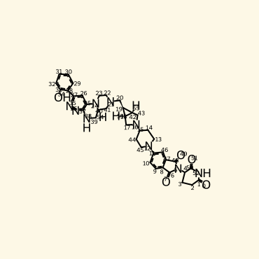 O=C1CCC(N2C(=O)c3ccc(N4CCC(N5C[C@@H]6[C@@H](CN7CCN8c9cc(-c%10ccccc%10O)nnc9NC[C@H]8C7)[C@@H]6C5)CC4)cc3C2=O)C(=O)N1